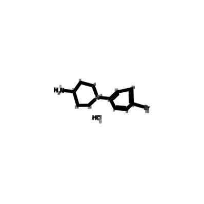 Cl.NC1CCN(c2ccc(Br)cc2)CC1